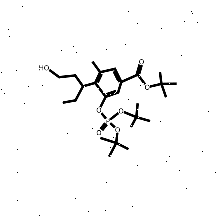 CCC(CCO)c1c(C)cc(C(=O)OC(C)(C)C)cc1OP(=O)(OC(C)(C)C)OC(C)(C)C